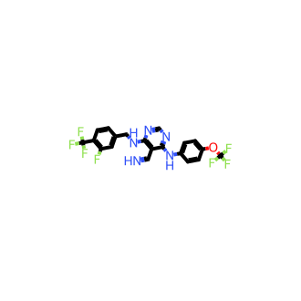 N=Cc1c(NCc2ccc(C(F)(F)F)c(F)c2)ncnc1Nc1ccc(OC(F)(F)F)cc1